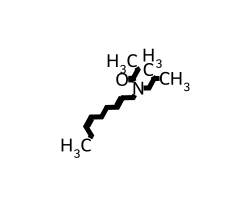 CC/C=C\CC/C=C/CN(CC(C)C)C(=O)CC